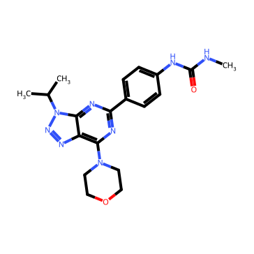 CNC(=O)Nc1ccc(-c2nc(N3CCOCC3)c3nnn(C(C)C)c3n2)cc1